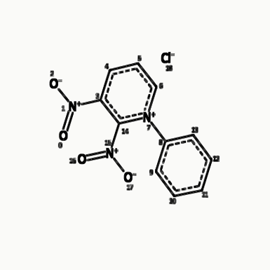 O=[N+]([O-])c1ccc[n+](-c2ccccc2)c1[N+](=O)[O-].[Cl-]